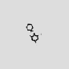 Nc1cc(Br)cc(F)c1NC1(O)CCCCC1